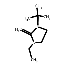 C=C1N(CC)CCN1C(C)(C)C